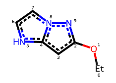 CCOc1cc2[nH]ccn2n1